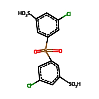 O=S(=O)(O)c1cc(Cl)cc(S(=O)(=O)c2cc(Cl)cc(S(=O)(=O)O)c2)c1